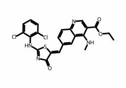 CCOC(=O)c1cnc2ccc(/C=C3\SC(Nc4c(Cl)cccc4Cl)=NC3=O)cc2c1NC